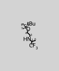 CC(NCCO[Si](C)(C)C(C)(C)C)C(F)(F)F